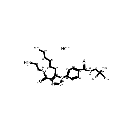 Cl.NCCNC(=O)c1nnn(-c2ccc(C(=O)NCC(F)(F)F)cc2)c1CCCCCF